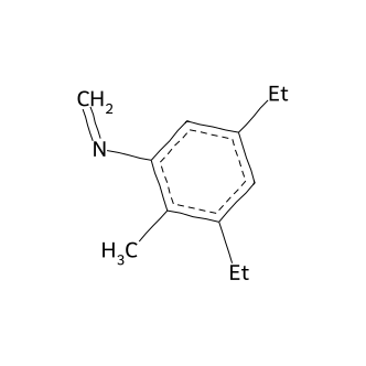 C=Nc1cc(CC)cc(CC)c1C